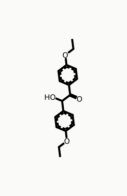 CCOc1ccc(C(=O)C(O)c2ccc(OCC)cc2)cc1